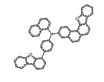 c1ccc2c(N(c3ccc(-c4cccc5c4oc4ccccc45)cc3)c3ccc4c(ccc5ccc6c7ccccc7oc6c54)c3)cccc2c1